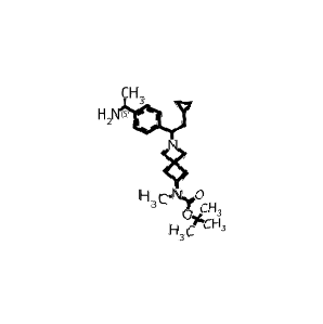 C[C@H](N)c1ccc(C(CC2CC2)N2CC3(CC(N(C)C(=O)OC(C)(C)C)C3)C2)cc1